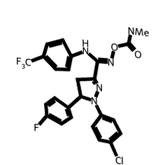 CNC(=O)O/N=C(\Nc1ccc(C(F)(F)F)cc1)C1=NN(c2ccc(Cl)cc2)C(c2ccc(F)cc2)C1